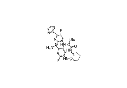 CC(C)(C)OC(=O)N[C@H]1CCCC[C@H]1Nc1nc(Nc2cnc(-n3nccn3)c(F)c2)c(C(N)=O)cc1F